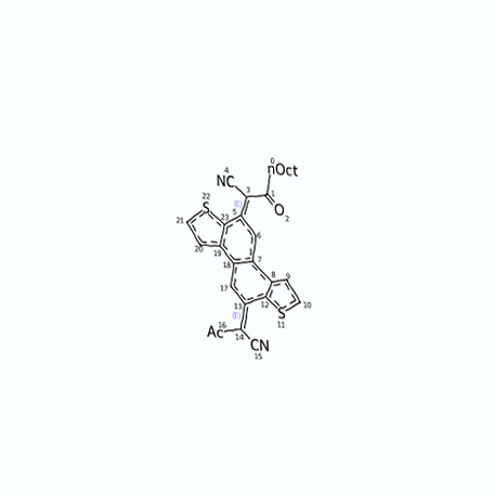 CCCCCCCCC(=O)/C(C#N)=c1\cc2c3ccsc3/c(=C(\C#N)C(C)=O)cc2c2ccsc12